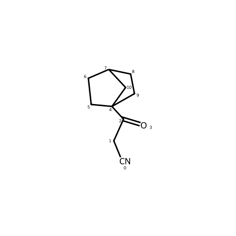 N#CCC(=O)C12CCC(CC1)C2